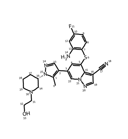 Cc1c(-c2cc(Sc3ccc(F)cc3N)c3c(C#N)cnn3c2)cnn1[C@H]1CCCN(CCO)C1